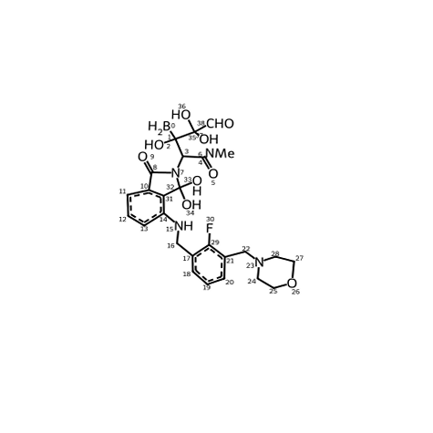 BC(O)(C(C(=O)NC)N1C(=O)c2cccc(NCc3cccc(CN4CCOCC4)c3F)c2C1(O)O)C(O)(O)C=O